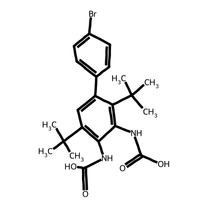 CC(C)(C)c1cc(-c2ccc(Br)cc2)c(C(C)(C)C)c(NC(=O)O)c1NC(=O)O